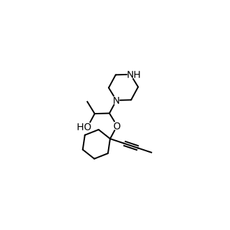 CC#CC1(OC(C(C)O)N2CCNCC2)CCCCC1